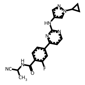 CC(C#N)NC(=O)c1ccc(-c2ccnc(Nc3cnn(C4CC4)c3)n2)cc1F